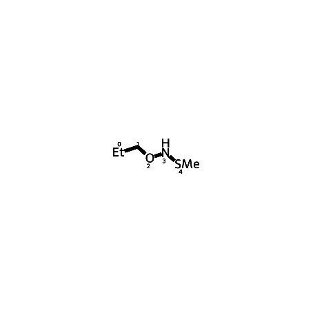 CCCONSC